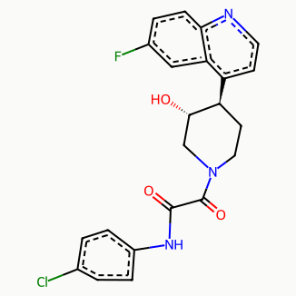 O=C(Nc1ccc(Cl)cc1)C(=O)N1CC[C@H](c2ccnc3ccc(F)cc23)[C@@H](O)C1